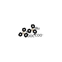 CC(C)(C)c1ccccc1[S+](c1ccccc1)c1ccccc1.CC(C)(C)c1ccccc1[S+](c1ccccc1)c1ccccc1.O=C([O-])CC(=O)[O-]